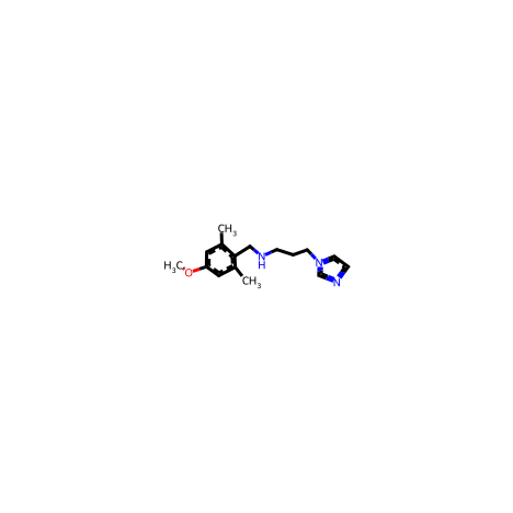 COc1cc(C)c(CNCCCn2ccnc2)c(C)c1